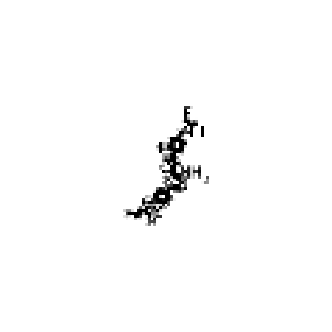 CC(CF)NCc1ccc(-c2cc(-c3nc(-c4ccc(S(=O)(=O)C(C)CCF)cc4)cnc3N)on2)c(F)c1